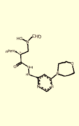 CCCCC[C@@H](CN(O)C=O)C(=O)NNc1cc(N2CCOCC2)ncn1